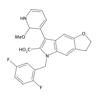 COC1NC=CC=C1c1c(C(=O)O)n(Cc2cc(F)ccc2F)c2cc3c(cc12)OCC3